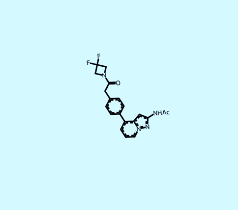 CC(=O)Nc1cc2c(-c3ccc(CC(=O)N4CC(F)(F)C4)cc3)cccn2n1